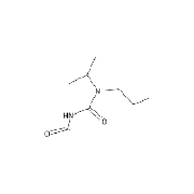 CCCN(C(=O)N[C]=O)C(C)C